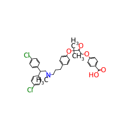 CN(CCCc1ccc(OC(C)(C)C(=O)COc2ccc(C(=O)O)cc2)cc1)CC(c1ccc(Cl)cc1)c1ccc(Cl)cc1